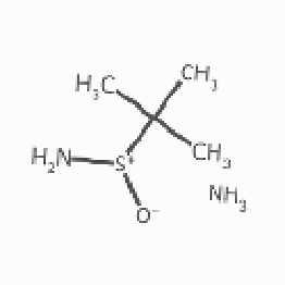 CC(C)(C)[S+](N)[O-].N